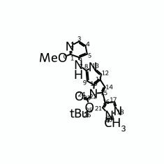 COc1ncccc1Nc1cc2c(cn1)cc(-c1cnn(C)c1)n2C(=O)OC(C)(C)C